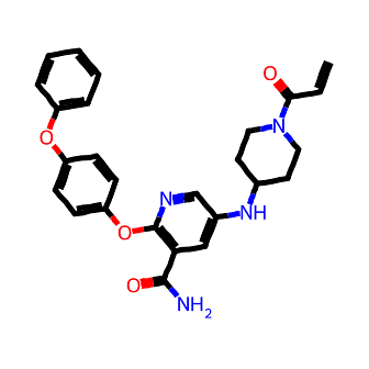 C=CC(=O)N1CCC(Nc2cnc(Oc3ccc(Oc4ccccc4)cc3)c(C(N)=O)c2)CC1